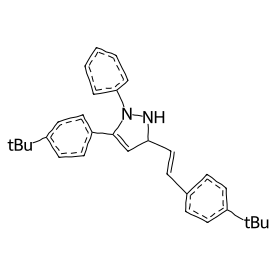 CC(C)(C)c1ccc(C=CC2C=C(c3ccc(C(C)(C)C)cc3)N(c3ccccc3)N2)cc1